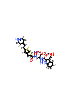 O=C(NC(CNC(=O)c1cc2cc(CCC3CCNCC3)sc2s1)C(=O)O)C1=Nc2ccccc2C1CO